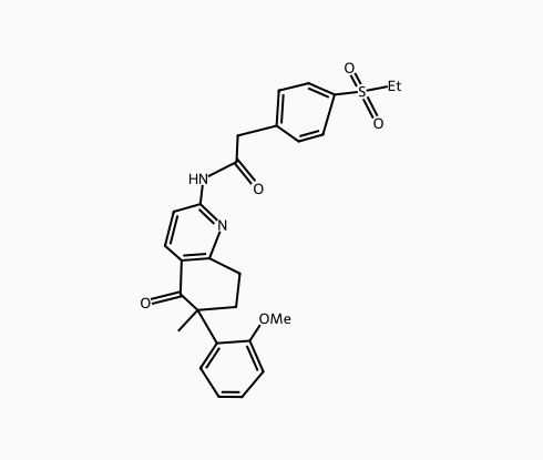 CCS(=O)(=O)c1ccc(CC(=O)Nc2ccc3c(n2)CCC(C)(c2ccccc2OC)C3=O)cc1